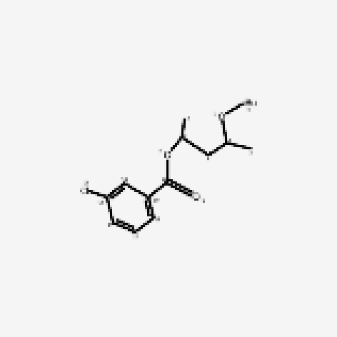 CCC(C)OC(C)CC(C)OC(=O)c1cccc(Cl)c1